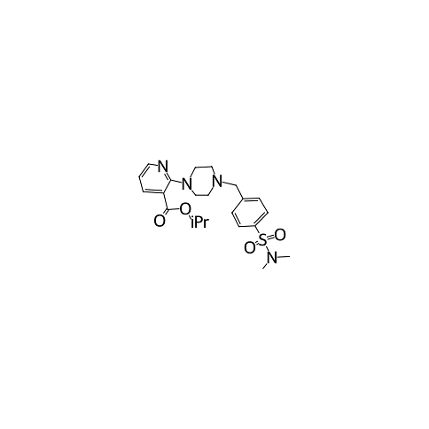 CC(C)OC(=O)c1cccnc1N1CCN(Cc2ccc(S(=O)(=O)N(C)C)cc2)CC1